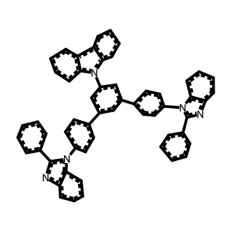 c1ccc(-c2nc3ccccc3n2-c2ccc(-c3cc(-c4ccc(-n5c(-c6ccccc6)nc6ccccc65)cc4)cc(-n4c5ccccc5c5ccccc54)c3)cc2)cc1